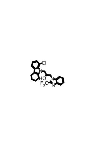 OC(Cn1c(C(F)(F)F)nc2ccccc21)Cn1c2c(c3cccc(Cl)c31)CCCC2